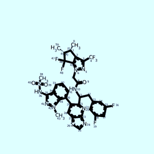 C[C@@H]1c2c(C(F)(F)F)nn(CC(=O)NC(Cc3cc(F)cc(F)c3)c3nc4ncsc4cc3-c3cccc4c(NS(C)(=O)=O)nn(C)c34)c2C(F)(F)[C@@H]1C